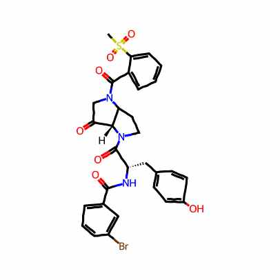 CS(=O)(=O)c1ccccc1C(=O)N1CC(=O)[C@@H]2C1CCN2C(=O)[C@H](Cc1ccc(O)cc1)NC(=O)c1cccc(Br)c1